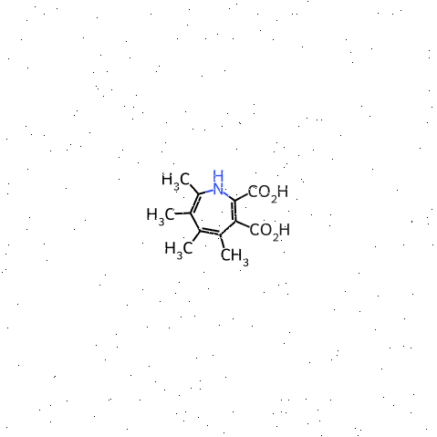 CC1=C(C)C(C)=C(C)C(C(=O)O)=C(C(=O)O)N1